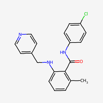 Cc1cccc(NCc2ccncc2)c1C(=O)Nc1ccc(Cl)cc1